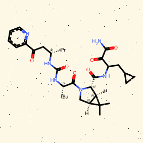 CC(C)[C@@H](CC(=O)c1ccccn1)NC(=O)N[C@H](C(=O)N1C[C@H]2[C@@H]([C@H]1C(=O)NC(CC1CC1)C(=O)C(N)=O)C2(C)C)C(C)(C)C